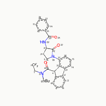 CCCCN(CC(F)(F)F)C(=O)C1c2ccccc2-c2cccc(N3CCC(NC(=O)c4ccccc4)C3=O)c21